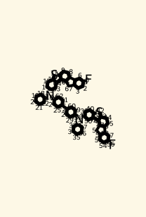 Fc1ccc2c(c1)-c1ccc3sc4ccc(N(c5ccccc5)c5ccc(-c6ccc(N(c7ccccc7)c7ccc8sc9ccc%10c(c9c8c7)Cc7ccc(F)cc7-%10)cc6)cc5)cc4c3c1C2